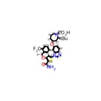 C[C@@H](Oc1cc(-n2cnc3ccc(O[C@H]4CCCN(C(=O)O)C(C(C)(C)C)C4)cc32)sc1C(N)=O)c1ccccc1C(F)(F)F